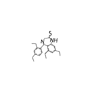 CCc1ccc(C2=NCC(=S)Nc3cc(CC)cc(CC)c32)c(CC)c1